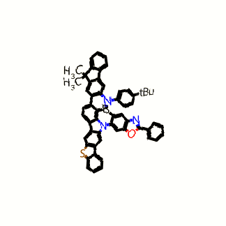 CC(C)(C)c1ccc(N2B3c4cc5nc(-c6ccccc6)oc5cc4-n4c5cc6c(cc5c5ccc(c3c54)-c3cc4c(cc32)-c2ccccc2C4(C)C)sc2ccccc26)cc1